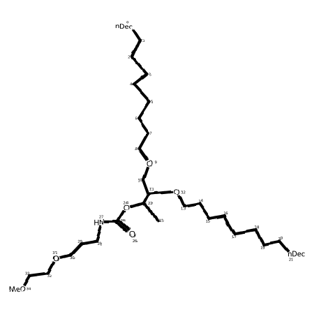 CCCCCCCCCCCCCCCCCCOCC(OCCCCCCCCCCCCCCCCCC)C(C)OC(=O)NCCCOCCOC